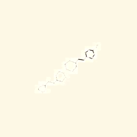 Fc1ccc(C=CC2CCC([C@H]3CC[C@H](CCC4OCCO4)CC3)CC2)cc1